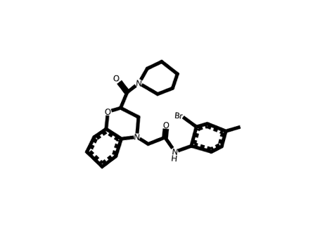 Cc1ccc(NC(=O)CN2CC(C(=O)N3CCCCC3)Oc3ccccc32)c(Br)c1